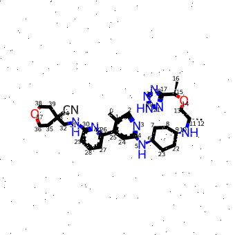 Cc1cnc(N[C@H]2CC[C@H](N[C@@H](C)CO[C@H](C)c3nn[nH]n3)CC2)cc1-c1cccc(NCC2(C#N)CCOCC2)n1